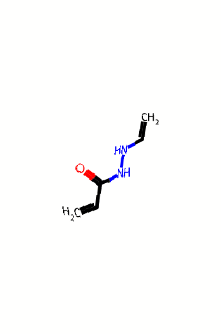 C=CNNC(=O)C=C